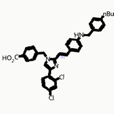 CCCCc1ccc(CNc2ccc(/C=C/c3nc(-c4ccc(Cl)cc4Cl)cn3Cc3ccc(C(=O)O)cc3)cc2)cc1